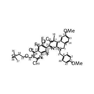 COc1ccc(CN(Cc2ccc(OC)cc2)c2cc(C)c(C(F)(F)F)c(-c3c(Cl)c(F)c4c(=O)n(COCC[Si](C)(C)C)c(Cl)nc4c3F)n2)cc1